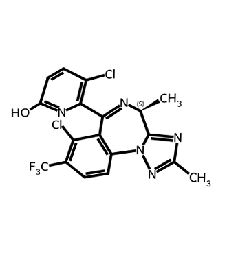 Cc1nc2n(n1)-c1ccc(C(F)(F)F)c(Cl)c1C(c1nc(O)ccc1Cl)=N[C@H]2C